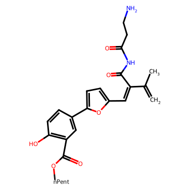 C=C(C)/C(=C/c1ccc(-c2ccc(O)c(C(=O)OCCCCC)c2)o1)C(=O)NC(=O)CCN